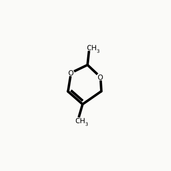 CC1=COC(C)OC1